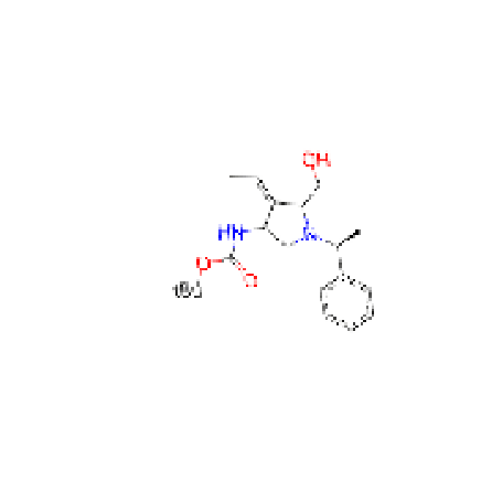 C/C=C1\C(NC(=O)OC(C)(C)C)CN([C@@H](C)c2ccccc2)C1CO